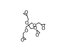 C(OCC(COCC1CO1)(COC1CO1)OCC1CO1)C1CO1